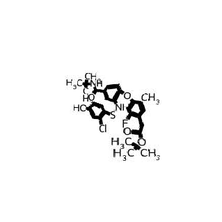 Cc1cc(CC(=O)OC(C)(C)C)c(F)cc1Oc1ccc(C(=O)NC(C)(C)C)cc1NSc1ccc(O)cc1Cl